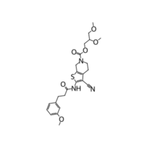 COCC(COC(=O)N1CCc2c(sc(NC(=O)CCc3cccc(OC)c3)c2C#N)C1)OC